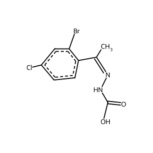 C/C(=N/NC(=O)O)c1ccc(Cl)cc1Br